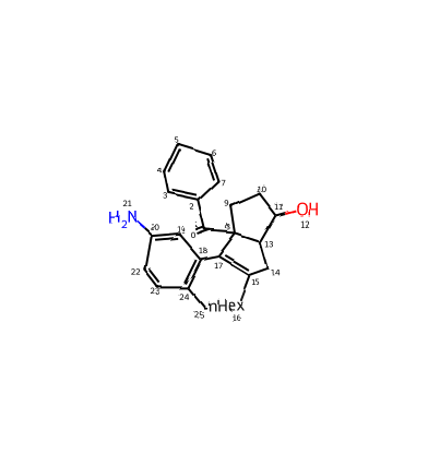 C=C(c1ccccc1)C12CCC(O)C1CC(CCCCCC)=C2c1cc(N)ccc1C